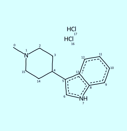 CN1CCC(c2c[nH]c3ccccc23)CC1.Cl.Cl